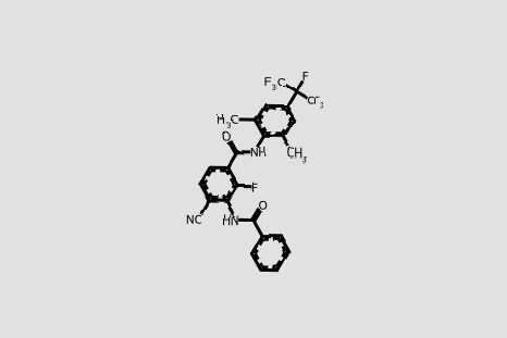 Cc1cc(C(F)(C(F)(F)F)C(F)(F)F)cc(C)c1NC(=O)c1ccc(C#N)c(NC(=O)c2ccccc2)c1F